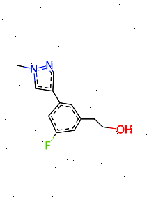 Cn1cc(-c2cc(F)cc(CCO)c2)cn1